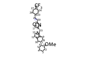 COc1ccccc1-c1ccc2c(ccn2Cc2coc(/C=C/c3ccc(C(F)(F)F)cc3)n2)c1